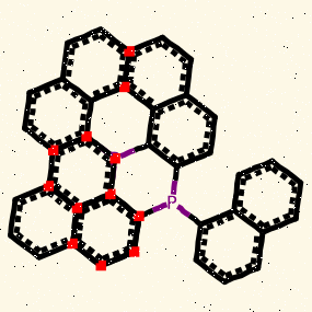 c1ccc2c(P(c3ccc4ccccc4c3P(c3cccc4ccccc34)c3cccc4ccccc34)c3cccc4ccccc34)cccc2c1